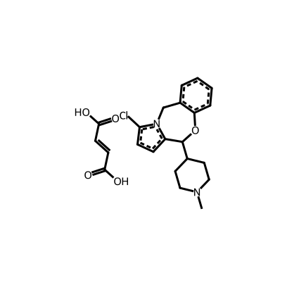 CN1CCC(C2Oc3ccccc3Cn3c(Cl)ccc32)CC1.O=C(O)C=CC(=O)O